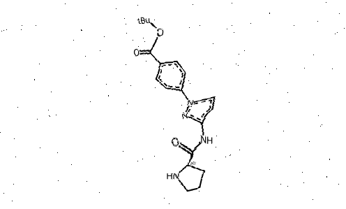 CC(C)(C)OC(=O)c1ccc(-n2ccc(NC(=O)[C@H]3CCCN3)n2)cc1